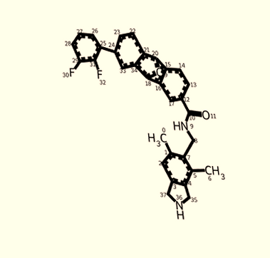 Cc1cc2c(c(C)c1CNC(=O)c1ccc3c(c1)c1oc3c3ccc(-c4cccc(F)c4F)cc31)CNC2